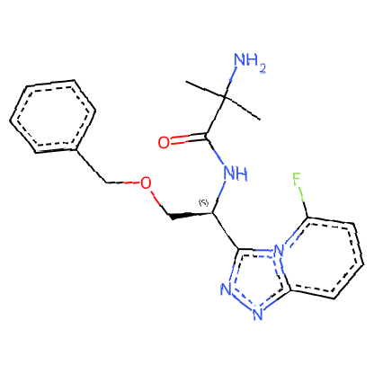 CC(C)(N)C(=O)N[C@H](COCc1ccccc1)c1nnc2cccc(F)n12